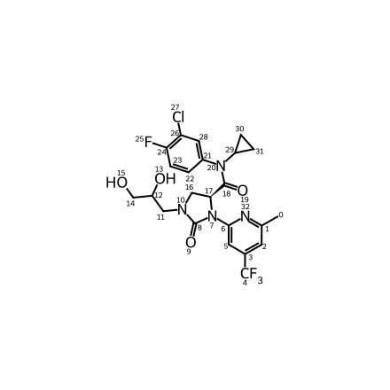 Cc1cc(C(F)(F)F)cc(N2C(=O)N(CC(O)CO)C[C@H]2C(=O)N(c2ccc(F)c(Cl)c2)C2CC2)n1